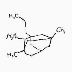 CCCC12CC3CC(C)(CC(C)(C3)C1N)C2